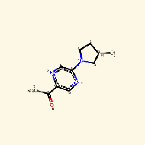 CC[C@@H]1CCN(c2cnc(C(=O)OC)cn2)C1